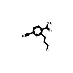 C#Cc1ccc(C(N)=O)c(CCCCl)c1